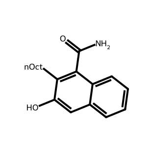 CCCCCCCCc1c(O)cc2ccccc2c1C(N)=O